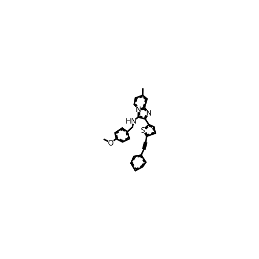 COc1ccc(CNc2c(-c3ccc(C#Cc4ccccc4)s3)nc3cc(C)ccn23)cc1